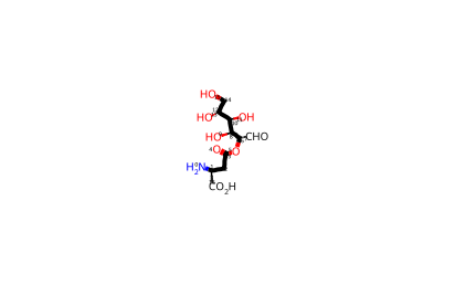 N[C@@H](CC(=O)O[C@@H](C=O)[C@@H](O)[C@H](O)[C@H](O)CO)C(=O)O